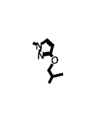 CC(C)COc1ccn(C)n1